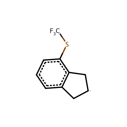 FC(F)(F)Sc1cccc2c1C[CH]C2